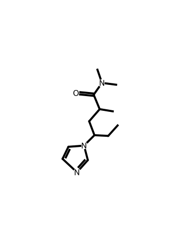 CCC(CC(C)C(=O)N(C)C)n1ccnc1